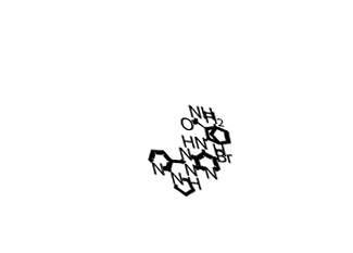 NC(=O)[C@@H]1[C@H](Nc2c(Br)cnc3[nH]c(-c4cccnc4N4CCCC4)nc23)[C@H]2C=C[C@@H]1C2